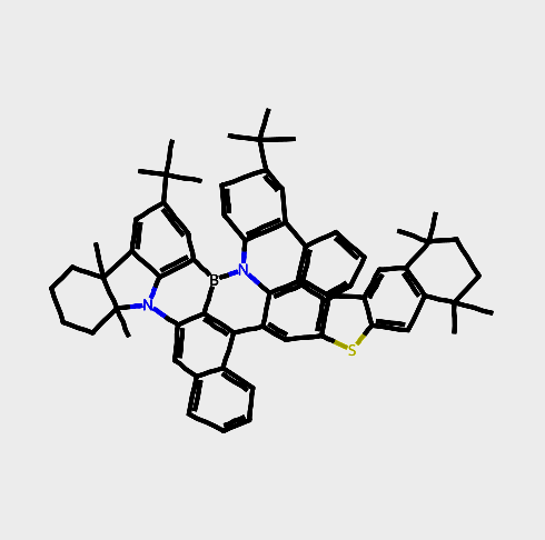 CC(C)(C)c1ccc(N2B3c4cc(C(C)(C)C)cc5c4N(c4cc6ccccc6c(c43)-c3cc4sc6cc7c(cc6c4cc32)C(C)(C)CCC7(C)C)C2(C)CCCCC52C)c(-c2ccccc2)c1